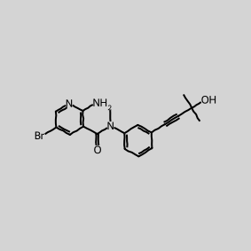 CN(C(=O)c1cc(Br)cnc1N)c1cccc(C#CC(C)(C)O)c1